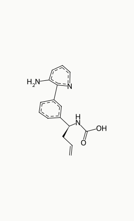 C=CC[C@H](NC(=O)O)c1cccc(-c2ncccc2N)c1